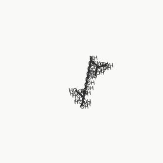 CNCC(COCC(O)COCC(O)COCC(O)COCC(O)COCC(O)COC(=O)NCCN(C[C@H](O)[C@@H](O)[C@H](O)[C@H](O)CO)C[C@H](O)[C@@H](O)[C@H](O)[C@H](O)CO)OC(=O)NCCN(C[C@H](O)[C@@H](O)[C@H](O)[C@H](O)CO)C[C@H](O)[C@@H](O)[C@H](O)[C@H](O)CO